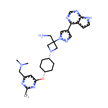 CN(C)Cc1cc(O[C@H]2CC[C@@H](N3CC(CN)(n4cc(-c5ncnc6[nH]ccc56)cn4)C3)CC2)nc(C(F)(F)F)n1